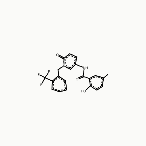 Cc1ccc(O)c(C(=O)Nc2ccc(=O)n(Cc3ccccc3C(F)(F)F)c2)c1